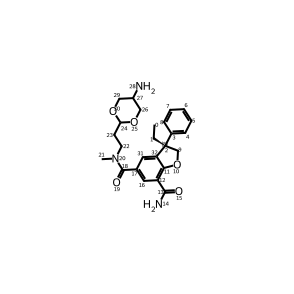 CC[C@@]1(c2ccccc2)COc2c(C(N)=O)cc(C(=O)N(C)CCC3OCC(N)CO3)cc21